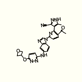 CC(=O)c1ccc(-n2cnc3cc(Nc4ccc(OC5COC5)nn4)ccc32)nc1-c1c(C#N)n[nH]c1C